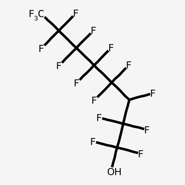 OC(F)(F)C(F)(F)[C](F)C(F)(F)C(F)(F)C(F)(F)C(F)(F)C(F)(F)F